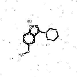 COc1ccc2[nH]cc(N3CCCCC3)c2c1.Cl